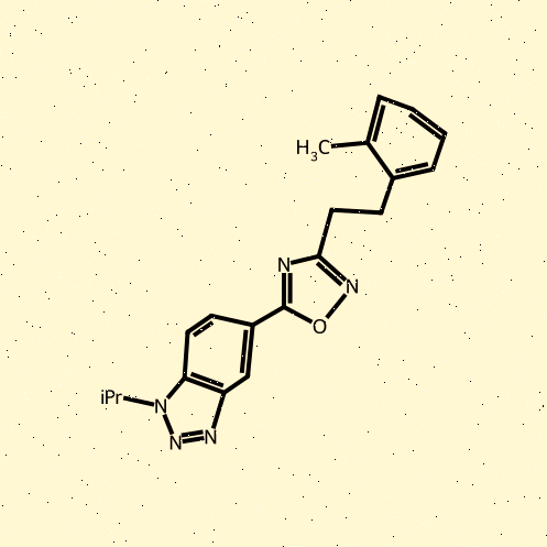 Cc1ccccc1CCc1noc(-c2ccc3c(c2)nnn3C(C)C)n1